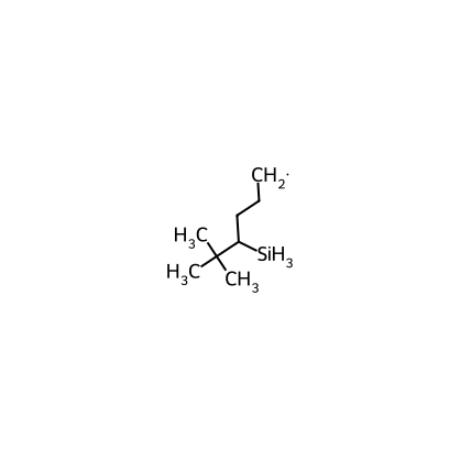 [CH2]CCC([SiH3])C(C)(C)C